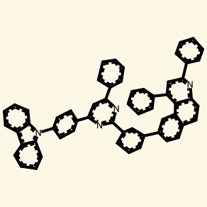 c1ccc(-c2cc(-c3ccc(-n4c5ccccc5c5ccccc54)cc3)nc(-c3cccc(-c4ccc5ccc6nc(-c7ccccc7)cc(-c7ccccc7)c6c5c4)c3)n2)cc1